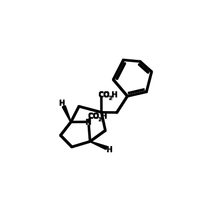 O=C(O)N1[C@@H]2CC[C@H]1CC(Cc1ccccc1)(C(=O)O)C2